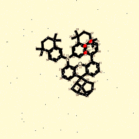 CC1(C)CCC(C)(C)c2cc(N(c3ccc4c(c3)C(C)(C)CCC4(C)C)c3cccc4c3Oc3c(-c5ccccc5)cccc3C43C4CC5CC6CC3C64C5)ccc21